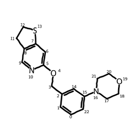 c1cc(COc2cc3c(cn2)CCS3)cc(N2CCOCC2)c1